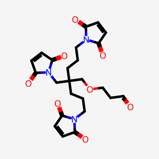 O=CCCOCC(CCCN1C(=O)C=CC1=O)(CCCN1C(=O)C=CC1=O)CN1C(=O)C=CC1=O